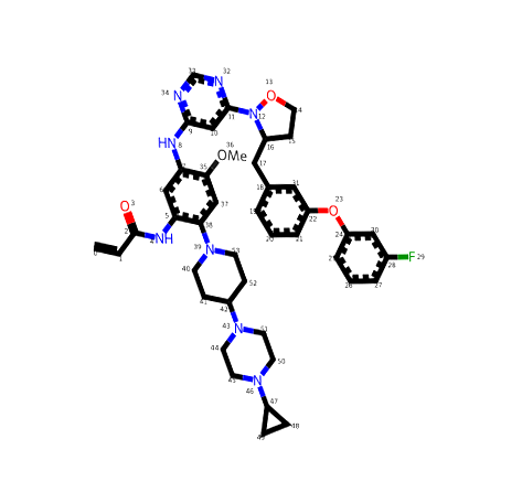 C=CC(=O)Nc1cc(Nc2cc(N3OCCC3Cc3cccc(Oc4cccc(F)c4)c3)ncn2)c(OC)cc1N1CCC(N2CCN(C3CC3)CC2)CC1